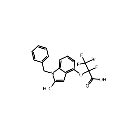 Cc1cc2c(OC(F)(C(=O)O)C(F)(F)Br)cccc2n1Cc1ccccc1